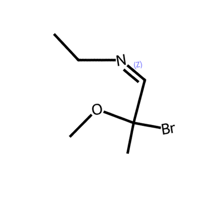 CC/N=C\C(C)(Br)OC